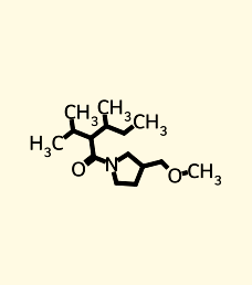 CCC(C)C(C(=O)N1CCC(COC)C1)C(C)C